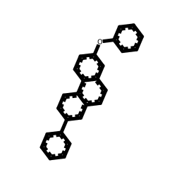 c1ccc(Oc2ccc3c(ccc4cc(-c5ccccc5)ccc43)c2)cc1